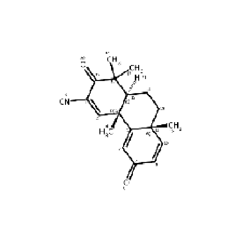 [C-]#[N+]C1=C[C@@]2(C)C3=CC(=O)C=C[C@@]3(C)CC[C@@H]2C(C)(C)C1=O